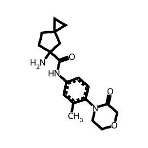 Cc1cc(NC(=O)C2(N)CCC3(CC3)C2)ccc1N1CCOCC1=O